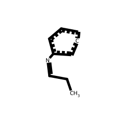 CC/C=N\c1ccccc1